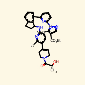 CCOC(=O)c1cnn(-c2cccc(-c3cccc4c3C(Nc3ccc(C5=CCN(C(=O)[C@H](C)O)CC5)c(CC)n3)CC4)n2)c1OC